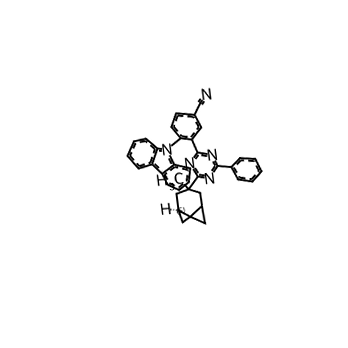 CC1(c2nc(-c3ccccc3)nc(-c3cc(C#N)ccc3-n3c4ccccc4c4ccccc43)n2)CC2CC23C[C@H]3C1